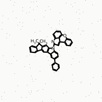 CC1(C)c2ccccc2-c2cc3c4cc(-c5ccccc5)ccc4n(-c4cc5c6c(cccc6n4)Oc4ccccc4-5)c3cc21